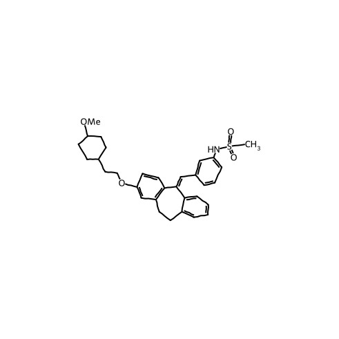 COC1CCC(CCOc2ccc3c(c2)CCc2ccccc2C3=Cc2cccc(NS(C)(=O)=O)c2)CC1